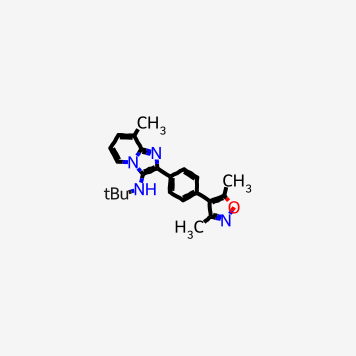 Cc1noc(C)c1-c1ccc(-c2nc3c(C)cccn3c2NC(C)(C)C)cc1